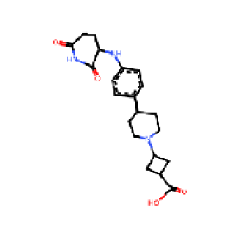 O=C1CCC(Nc2ccc(C3CCN(C4CC(C(=O)O)C4)CC3)cc2)C(=O)N1